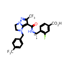 C[C@H](NC(=O)c1c(C(F)(F)F)nn2c1N(Cc1ccc(C(F)(F)F)cc1)CC2)c1ccc(C(=O)O)cc1F